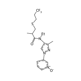 CCN(C(=O)C(C)CSCCC(F)(F)F)c1cn(-c2ccc[n+]([O-])c2)nc1C